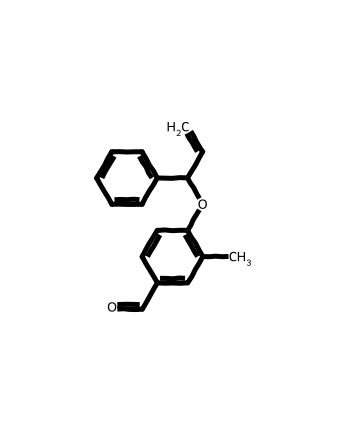 C=CC(Oc1ccc(C=O)cc1C)c1ccccc1